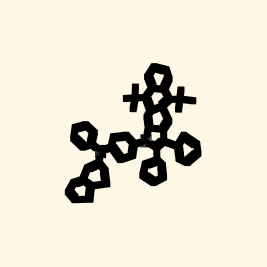 CC(C)(C)c1c2ccccc2c(C(C)(C)C)c2cc3c(cc12)c(-c1ccccc1)c(-c1ccccc1)n3-c1ccc(N(c2ccccc2)c2ccc3ccccc3c2)cc1